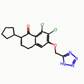 O=C1c2c(cc(OCc3nnn[nH]3)c(Cl)c2Cl)CCC1C1CCCC1